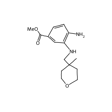 COC(=O)c1ccc(N)c(NCC2(C)CCOCC2)c1